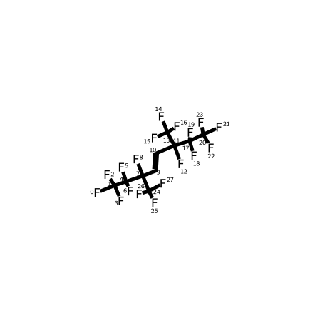 FC(F)(F)C(F)(F)C(F)(C=CC(F)(C(F)(F)F)C(F)(F)C(F)(F)F)C(F)(F)F